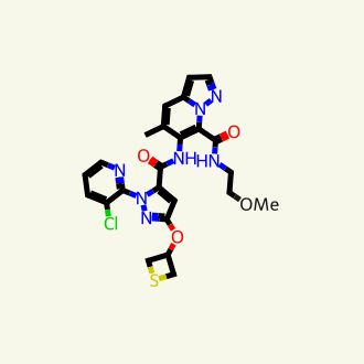 COCCNC(=O)c1c(NC(=O)c2cc(OC3CSC3)nn2-c2ncccc2Cl)c(C)cc2ccnn12